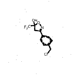 OC1(C(F)(F)F)CC(c2ccc(CCl)cc2)=NO1